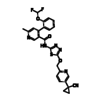 Cc1cc(-c2ccccc2OC(F)F)c(C(=O)Nc2nnc(OCc3ccc(C4(C#N)CC4)cn3)s2)cn1